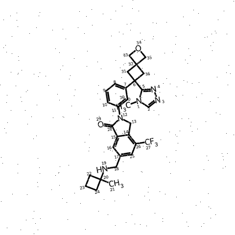 Cn1cnnc1C1(c2cccc(N3Cc4c(cc(CNC5(C)CCC5)cc4C(F)(F)F)C3=O)c2)CC2(COC2)C1